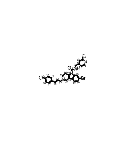 O=C(NCc1ccnc(Cl)c1)n1c2c(c3ccc(Br)cc31)CN(CC=Cc1ccc(Cl)cc1)CC2